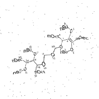 CCCCCCCCCCC(OCCCC)=C(OCCCC)C(CCCCCCCC)OCOCOC(CCCCCCCC)C(OCCCC)=C(CCCCCCCCCC)OCCCC